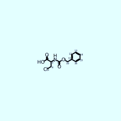 O=C(NC(CCl)C(=O)O)OCc1ccccc1